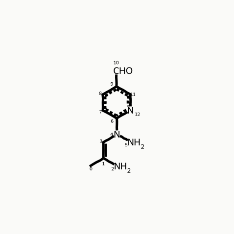 C/C(N)=C/N(N)c1ccc(C=O)cn1